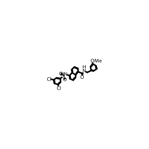 COc1cccc(CNC(=O)c2cccc3c(NS(=O)(=O)c4cc(Cl)cc(Cl)c4)cccc23)c1